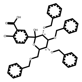 O=C(O)c1cc(C2(O)OC(COCc3ccccc3)[C@@H](OCc3ccccc3)C(OCc3ccccc3)[C@H]2OCc2ccccc2)ccc1Cl